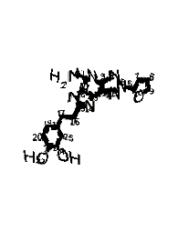 Nc1nc2nn(-c3ccco3)nc2c2nc(CCc3ccc(O)c(O)c3)nn12